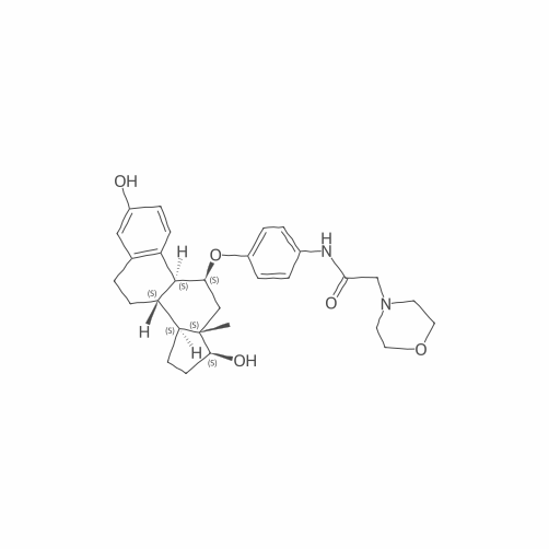 C[C@]12C[C@H](Oc3ccc(NC(=O)CN4CCOCC4)cc3)[C@@H]3c4ccc(O)cc4CC[C@H]3[C@@H]1CC[C@@H]2O